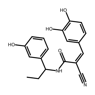 CCC(NC(=O)C(C#N)=Cc1ccc(O)c(O)c1)c1cccc(O)c1